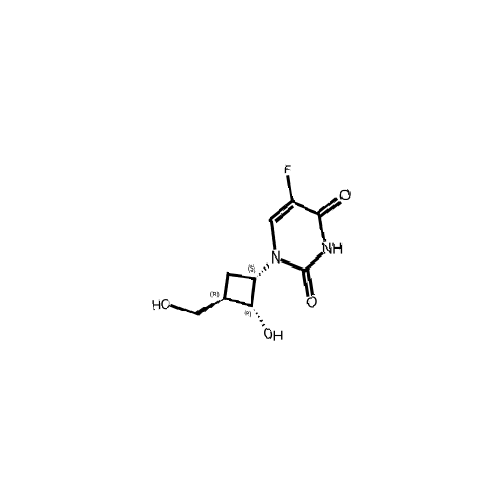 O=c1[nH]c(=O)n([C@H]2C[C@H](CO)[C@H]2O)cc1F